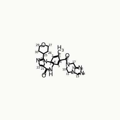 Cc1cc2c(cc1C(=O)N1CCn3cnnc3C1)[nH]c(=O)c1cnc(C3CCOCC3)n12